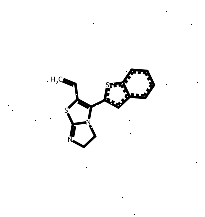 C=CC1=C(c2cc3ccccc3s2)N2CCN=C2S1